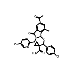 CC(=O)c1cc(F)c2c(c1)C(=O)N(Cc1ccc(Cl)cn1)C2OC(c1ccc(Cl)cc1)C1(C(N)=O)CC1